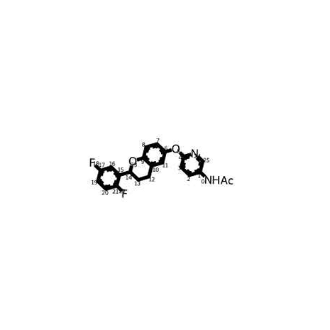 CC(=O)Nc1ccc(Oc2ccc3c(c2)CCC(c2cc(F)ccc2F)O3)nc1